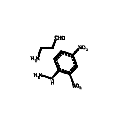 NCCC=O.NNc1ccc([N+](=O)[O-])cc1[N+](=O)[O-]